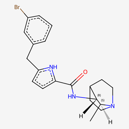 C[C@H]1[C@H](NC(=O)c2ccc(Cc3cccc(Br)c3)[nH]2)C2CCN1CC2